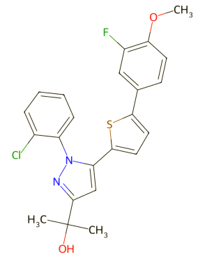 COc1ccc(-c2ccc(-c3cc(C(C)(C)O)nn3-c3ccccc3Cl)s2)cc1F